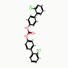 O=C(Oc1ccc(-c2ccccc2Cl)cc1)Oc1ccc(-c2ccccc2Cl)cc1